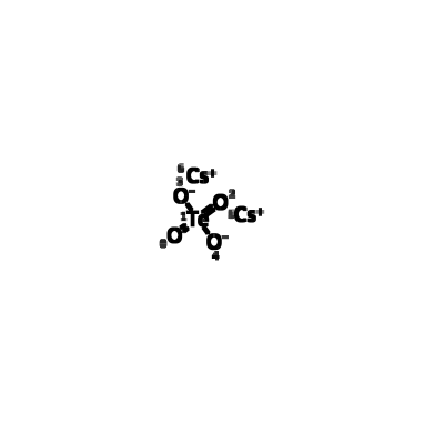 O=[Te](=O)([O-])[O-].[Cs+].[Cs+]